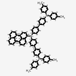 Cc1ccc(N(c2ccc(C)cc2)c2ccc(-c3ccc(N(c4ccc(-c5ccc(N(c6ccc(C)cc6)c6ccc(C)cc6)cc5)cc4)c4ccc5c6cccc7cccc(c8cccc4c85)c76)cc3)cc2)cc1